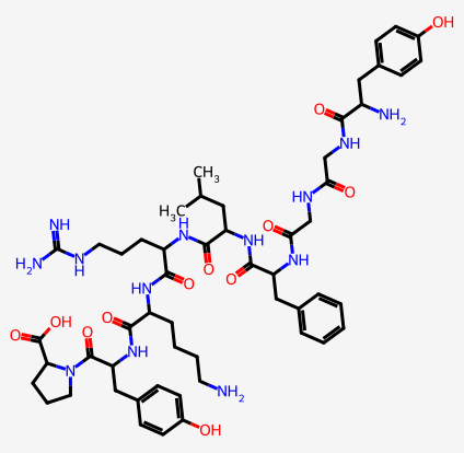 CC(C)CC(NC(=O)C(Cc1ccccc1)NC(=O)CNC(=O)CNC(=O)C(N)Cc1ccc(O)cc1)C(=O)NC(CCCNC(=N)N)C(=O)NC(CCCCN)C(=O)NC(Cc1ccc(O)cc1)C(=O)N1CCCC1C(=O)O